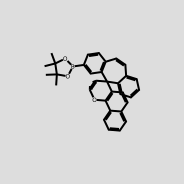 CC1(C)OB(c2ccc3c(c2)C2(c4ccccc4C=C3)c3ccccc3Oc3c2ccc2ccccc32)OC1(C)C